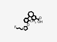 Cc1c(O[C@@H]2CCN(CCCF)C2)cccc1C1=CCCCc2cc(C(=O)O)ccc21